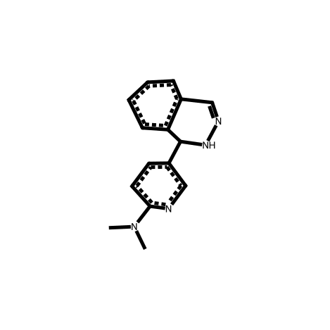 CN(C)c1ccc(C2NN=Cc3ccccc32)cn1